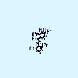 CCC(/C=N/c1c(C(C)C)cccc1C(C)C)=C1/C=CC(C(C)C)=C(N)C1C(C)C